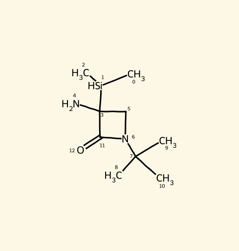 C[SiH](C)C1(N)CN(C(C)(C)C)C1=O